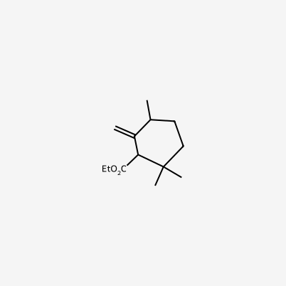 C=C1C(C)CCC(C)(C)C1C(=O)OCC